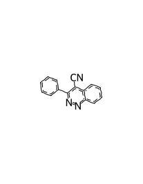 N#Cc1c(-c2ccccc2)nnc2ccccc12